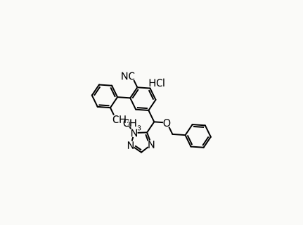 Cc1ccccc1-c1cc(C(OCc2ccccc2)c2ncnn2C)ccc1C#N.Cl